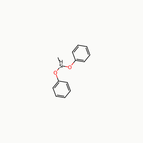 C[SiH](Oc1ccccc1)Oc1ccccc1